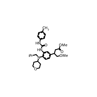 COCC(CC(=O)OC)c1ccc(N(CC(C)C)C2CCOCC2)c(NC(=O)Nc2ccc(C)cc2)c1